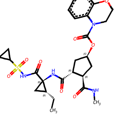 CC[C@@H]1C[C@]1(NC(=O)[C@@H]1C[C@@H](OC(=O)N2CCOc3ccccc32)C[C@H]1C(=O)NC)C(=O)NS(=O)(=O)C1CC1